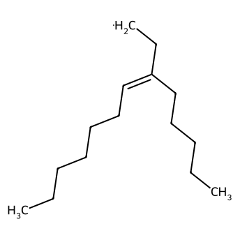 [CH2]CC(=CCCCCCC)CCCCC